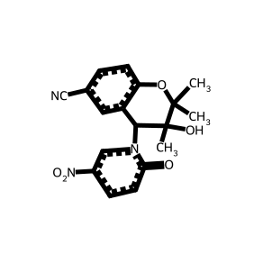 CC1(C)Oc2ccc(C#N)cc2C(n2cc([N+](=O)[O-])ccc2=O)C1(C)O